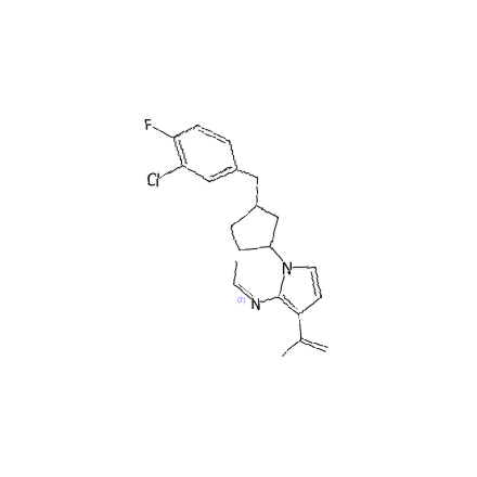 C=C(C)c1ccn(C2CCC(Cc3ccc(F)c(Cl)c3)C2)c1/N=C\C